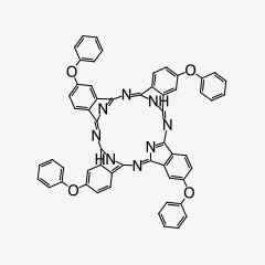 c1ccc(Oc2ccc3c(c2)-c2nc-3nc3[nH]c(nc4nc(nc5[nH]c(n2)c2ccc(Oc6ccccc6)cc52)-c2ccc(Oc5ccccc5)cc2-4)c2ccc(Oc4ccccc4)cc32)cc1